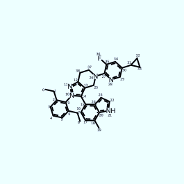 CCc1cccc(CC)c1-n1nc2c(c1-c1ccc(C)c3[nH]ccc13)CN(c1ncc(C3CC3)cc1F)CC2